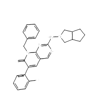 Cc1ccccc1-c1cc2cnc(NN3CC4CCCC4C3)nc2n(Cc2ccccc2)c1=O